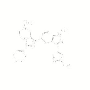 Cn1cc(-c2nn(C)c3ccc(-c4nc(C5=CCSCC5)n5c4CN(C=O)CC5)cc23)cn1